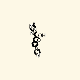 Cc1cn2cc(C3=Cc4ccc(N5CCN(C)CC5)cc4OC3O)nc2cn1